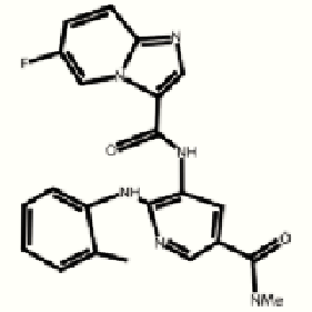 CNC(=O)c1cnc(Nc2ccccc2C)c(NC(=O)c2cnc3ccc(F)cn23)c1